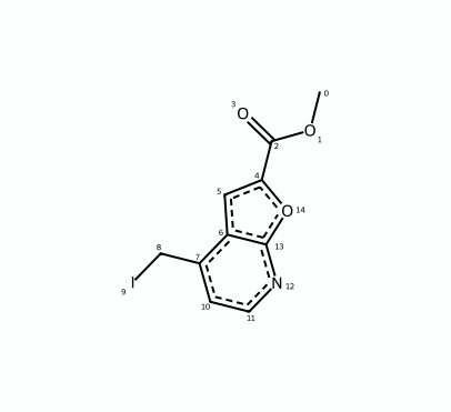 COC(=O)c1cc2c(CI)ccnc2o1